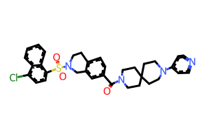 O=C(c1ccc2c(c1)CN(S(=O)(=O)c1ccc(Cl)c3ccccc13)CC2)N1CCC2(CC1)CCN(c1ccncc1)CC2